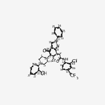 CCc1c(N2CCN(c3ncccc3O)CC2)c(=O)c2cn(-c3ccccc3)nc2n1CC(=O)Nc1ccc(C(F)(F)F)cc1Cl